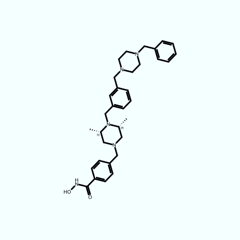 C[C@@H]1CN(Cc2ccc(C(=O)NO)cc2)C[C@H](C)N1Cc1cccc(CN2CCN(Cc3ccccc3)CC2)c1